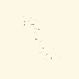 C[C@@]1(F)COCc2ccc(C(=O)NCC(=O)Nc3nc(-c4ccnc(C5(O)CC5)c4)cs3)cc21